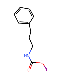 O=C(NCCCc1ccccc1)OI